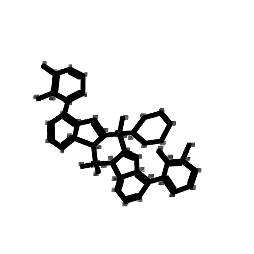 Cc1cccc(-c2cccc3c2C=C2[CH]3[Hf]([CH3])([CH3])[CH]3C(=Cc4c(-c5cccc(C)c5C)cccc43)[Si]2(C)C2CCCCC2)c1C